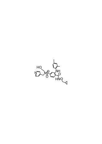 Cc1cc(I)ccc1Nc1cc(S(=O)(=O)N(CCO)Cc2ccncc2)ccc1C(=O)NOCC1CC1